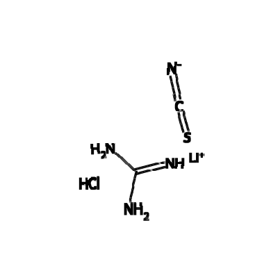 Cl.N=C(N)N.[Li+].[N-]=C=S